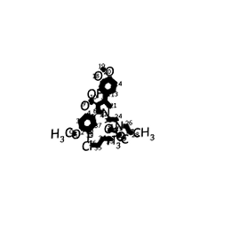 COc1ccc([C@@H]2[C@@H](C(=O)O)C(c3ccc4c(c3)OCO4)CN2CCN(CC(C)C)S(=O)(=O)CCCCl)cc1F